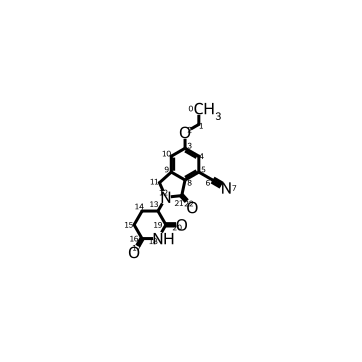 CCOc1cc(C#N)c2c(c1)CN(C1CCC(=O)NC1=O)C2=O